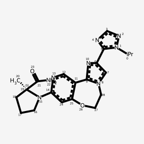 CC(C)n1ncnc1-c1cn2c(n1)-c1cnc(N3CCC[C@@]3(C)C(N)=O)cc1OCC2